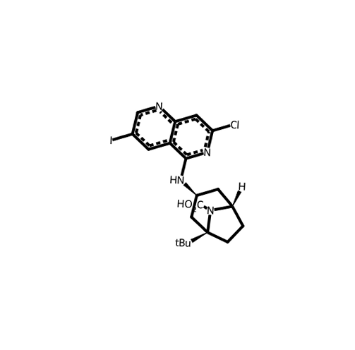 CC(C)(C)[C@@]12CC[C@@H](C[C@H](Nc3nc(Cl)cc4ncc(I)cc34)C1)N2C(=O)O